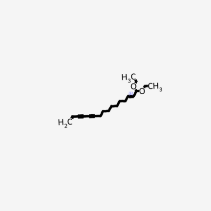 C=CC#CC#CCCCCCCC/C=C/C(OCC)OCC